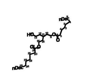 CCCCCCCCCCCCCCCC(=O)OCC[C](CCO)CCOC(=O)CCCCCCCCCCCCCCC